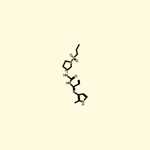 C=C/C(=N\c1cc[nH]c1C)NC(=O)N[C@@H]1CCN(S(=O)(=O)CCC)C1